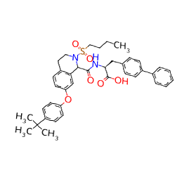 CCCCS(=O)(=O)N1CCc2ccc(Oc3ccc(C(C)(C)C)cc3)cc2C1C(=O)N[C@@H](Cc1ccc(-c2ccccc2)cc1)C(=O)O